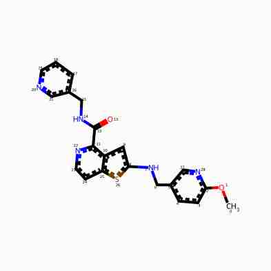 COc1ccc(CNc2cc3c(C(=O)NCc4cccnc4)nccc3s2)cn1